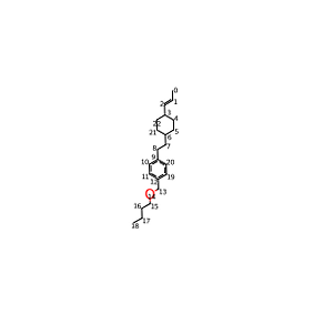 C/C=C/C1CCC(CCc2ccc(COCCCC)cc2)CC1